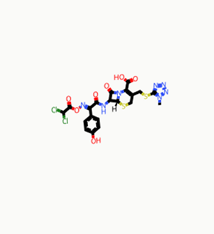 Cn1nnnc1SCC1=C(C(=O)O)N2C(=O)C(NC(=O)/C(=N/OC(=O)C(Cl)Cl)c3ccc(O)cc3)[C@H]2SC1